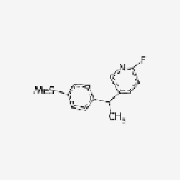 CSc1ccc(C(C)c2ccc(F)nc2)cc1